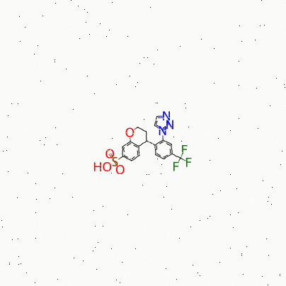 O=S(=O)(O)c1ccc2c(c1)OCCC2c1ccc(C(F)(F)F)cc1-n1ccnn1